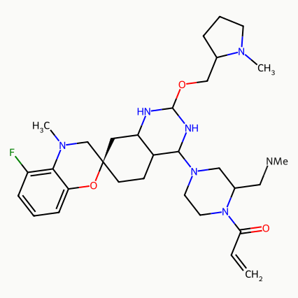 C=CC(=O)N1CCN(C2NC(OCC3CCCN3C)NC3C[C@]4(CCC32)CN(C)c2c(F)cccc2O4)CC1CNC